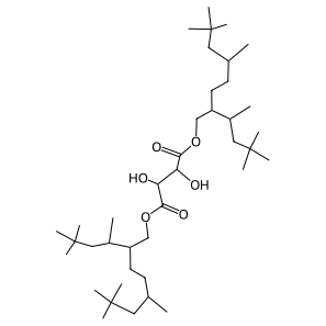 CC(CCC(COC(=O)C(O)C(O)C(=O)OCC(CCC(C)CC(C)(C)C)C(C)CC(C)(C)C)C(C)CC(C)(C)C)CC(C)(C)C